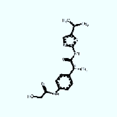 CC(C)c1cnc(NC(=O)[C@H](C)c2ccc(NC(=O)CO)cc2)s1